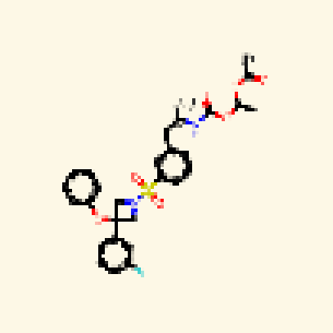 CC(OC(=O)N[C@@H](Cc1cccc(S(=O)(=O)N2CC(Oc3ccccc3)(c3cccc(F)c3)C2)c1)C(=O)O)OC(=O)C(C)C